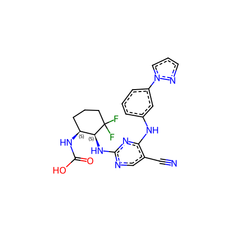 N#Cc1cnc(N[C@H]2[C@@H](NC(=O)O)CCCC2(F)F)nc1Nc1cccc(-n2cccn2)c1